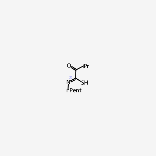 CCCCC/N=C(\S)C(=O)C(C)C